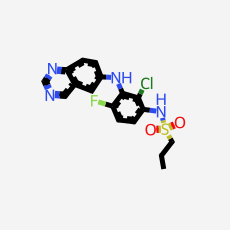 CCCS(=O)(=O)Nc1ccc(F)c(Nc2ccc3ncncc3c2)c1Cl